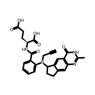 C#CCN(c1ccccc1C(=O)N[C@@H](CCC(=O)O)C(=O)O)C1CCc2cc3nc(C)[nH]c(=O)c3cc21